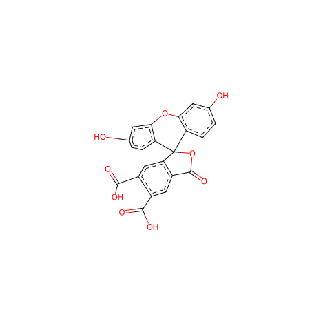 O=C(O)c1cc2c(cc1C(=O)O)C1(OC2=O)c2ccc(O)cc2Oc2cc(O)ccc21